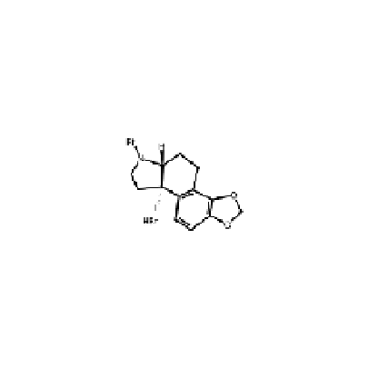 Br.CCN1CC[C@@H]2c3ccc4c(c3CC[C@H]21)OCO4